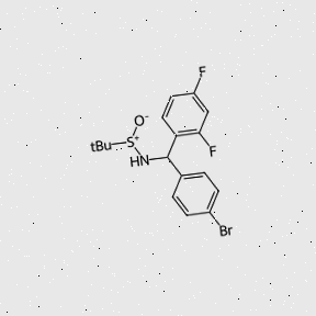 CC(C)(C)[S+]([O-])NC(c1ccc(Br)cc1)c1ccc(F)cc1F